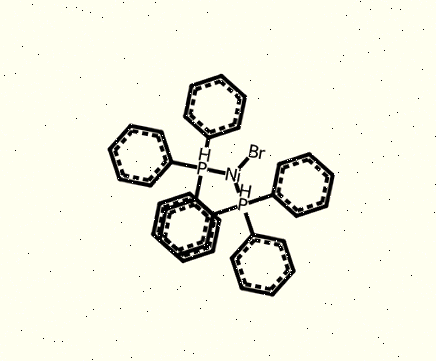 [Br][Ni]([PH](c1ccccc1)(c1ccccc1)c1ccccc1)[PH](c1ccccc1)(c1ccccc1)c1ccccc1